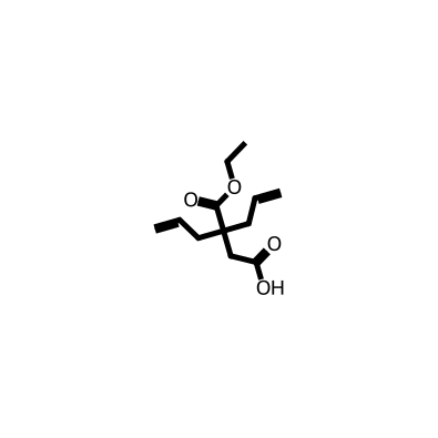 C=CCC(CC=C)(CC(=O)O)C(=O)OCC